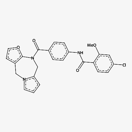 COc1cc(Cl)ccc1C(=O)Nc1ccc(C(=O)N2Cc3cccn3Cc3ccoc32)cc1